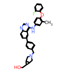 Cc1cc(Nc2ncnc3ccc(-c4ccc(CN5CC6C(CO)C6C5)cc4)cc23)ccc1Oc1ccccc1F